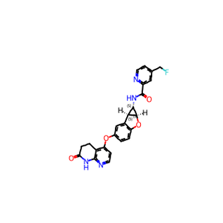 O=C1CCc2c(Oc3ccc4c(c3)[C@H]3[C@H](NC(=O)c5cc(CF)ccn5)[C@H]3O4)ccnc2N1